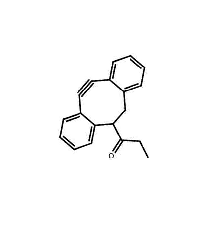 CCC(=O)C1Cc2ccccc2C#Cc2ccccc21